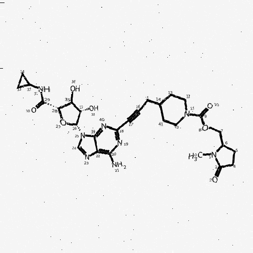 CN1C(=O)CCC1COC(=O)N1CCC(CC#Cc2nc(N)c3ncn([C@@H]4O[C@H](C(=O)NC5CC5)C(O)[C@@H]4O)c3n2)CC1